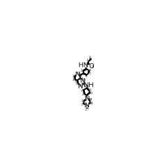 C=CC(=O)Nc1cccc(-c2nccc3cnc(Nc4ccc(N5CCN(C)CC5)cc4)nc23)c1